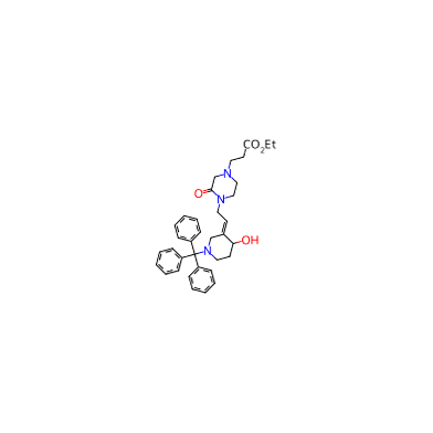 CCOC(=O)CCN1CCN(CC=C2CN(C(c3ccccc3)(c3ccccc3)c3ccccc3)CCC2O)C(=O)C1